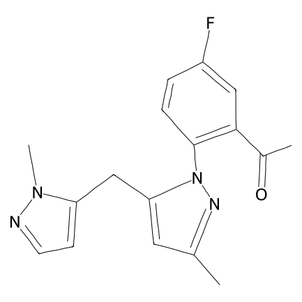 CC(=O)c1cc(F)ccc1-n1nc(C)cc1Cc1ccnn1C